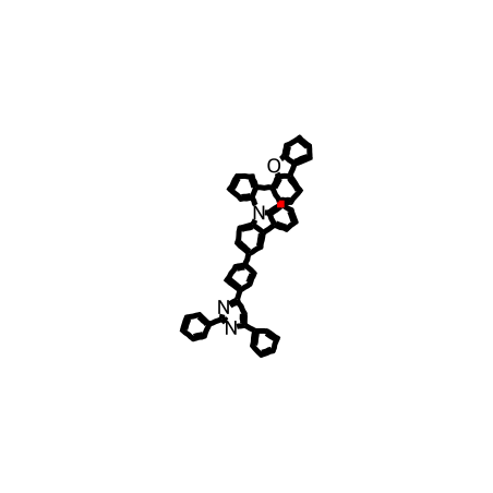 c1ccc(-c2cc(-c3ccc(-c4ccc5c(c4)c4ccccc4n5-c4ccccc4-c4cccc5c4oc4ccccc45)cc3)nc(-c3ccccc3)n2)cc1